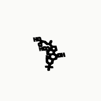 CC(CCC(=O)O)C1CCC2C3C(C[C@H](O)[C@]12C)[C@@]1(C)CCC(C(C)(C)C)CC1C[C@H]3O